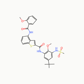 COc1ccccc1C(=O)Nc1cccc2sc(C(=O)Nc3cc(C(C)(C)C)cc(NS(C)(=O)=O)c3OC)cc12